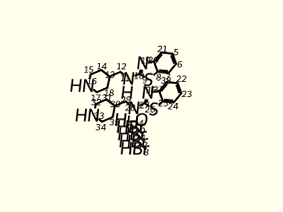 Br.Br.Br.Br.O.c1ccc2sc(NCC3CCNCC3)nc2c1.c1ccc2sc(NCC3CCNCC3)nc2c1